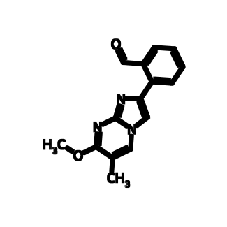 COc1nc2nc(-c3ccccc3C=O)cn2cc1C